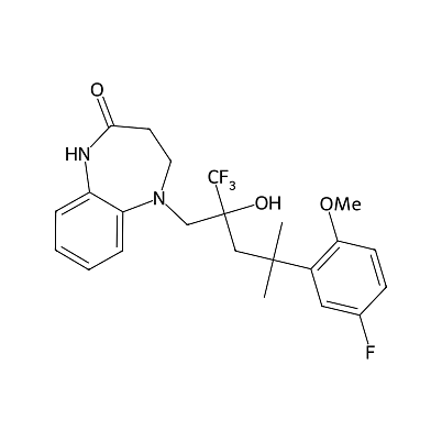 COc1ccc(F)cc1C(C)(C)CC(O)(CN1CCC(=O)Nc2ccccc21)C(F)(F)F